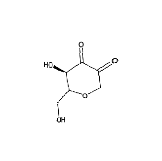 O=C1COC(CO)[C@@H](O)C1=O